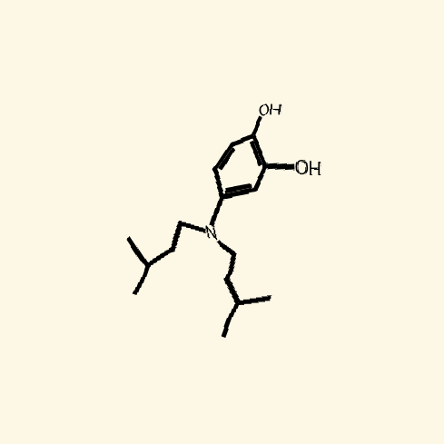 CC(C)CCN(CCC(C)C)c1ccc(O)c(O)c1